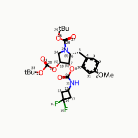 COc1ccc(C[C@@H]2[C@H](OC(=O)NC3CC(F)(F)C3)[C@@H](OC(=O)OC(C)(C)C)CN2C(=O)OC(C)(C)C)cc1